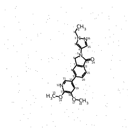 CCn1cc(N2Cc3cc(-c4cnc(OC)c(OC)c4)ccc3C2=O)cn1